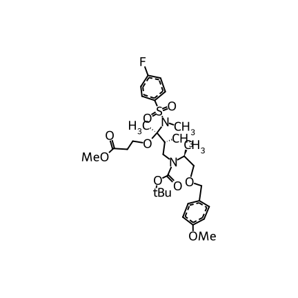 COC(=O)CCO[C@](C)([C@H](C)CN(C(=O)OC(C)(C)C)[C@@H](C)COCc1ccc(OC)cc1)N(C)S(=O)(=O)c1ccc(F)cc1